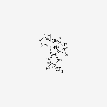 CS(=O)(=O)N(C[C@@H]1CCCN1)C1(c2ccc(F)c(C(F)(F)F)c2)CC1